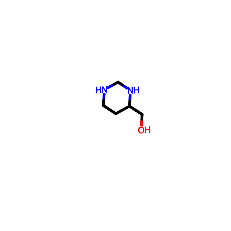 OCC1CCNCN1